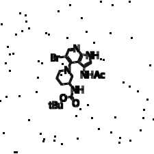 CC(=O)Nc1c[nH]c2ncc(Br)c(N3CCCC(NC(=O)OC(C)(C)C)C3)c12